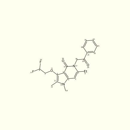 CCc1cc2c(c(OCC(F)F)c(C)n2C)c(=O)n1CC(=O)c1ccccc1